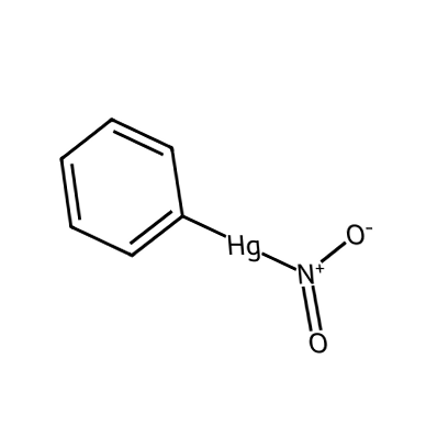 O=[N+]([O-])[Hg][c]1ccccc1